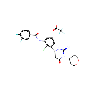 C[C@@H]1C[C@H](N2C(=N)N[C@](C)(c3cccc(NC(=O)c4ccc(F)c(F)c4)c3Cl)CC2=O)CCO1.O=C(O)C(F)(F)F